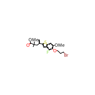 C=C(CC(C)(C)C(=O)OC)c1cc2c(F)c(OCCCBr)c(OC)cc2s1